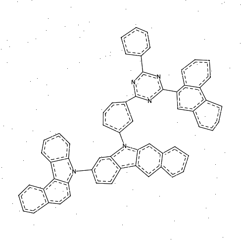 c1ccc(-c2nc(-c3cccc(-n4c5cc(-n6c7ccccc7c7c8ccccc8ccc76)ccc5c5cc6ccccc6cc54)c3)nc(-c3cc4ccccc4c4ccccc34)n2)cc1